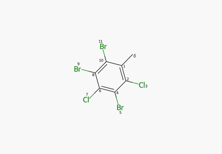 [CH2]c1c(Cl)c(Br)c(Cl)c(Br)c1Br